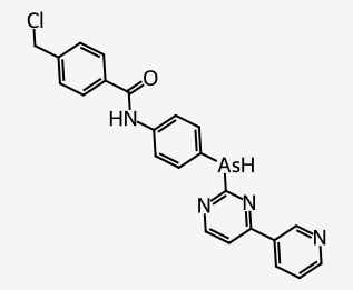 O=C(Nc1ccc([AsH]c2nccc(-c3cccnc3)n2)cc1)c1ccc(CCl)cc1